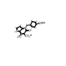 COc1ccc(Cn2c(=O)c(C(=O)O)c(Cl)c3sccc32)cc1